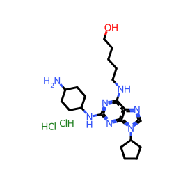 Cl.Cl.NC1CCC(Nc2nc(NCCCCCO)c3ncn(C4CCCC4)c3n2)CC1